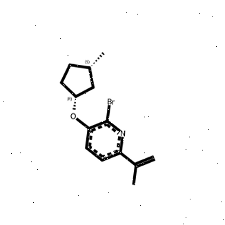 C=C(C)c1ccc(O[C@@H]2CC[C@H](C)C2)c(Br)n1